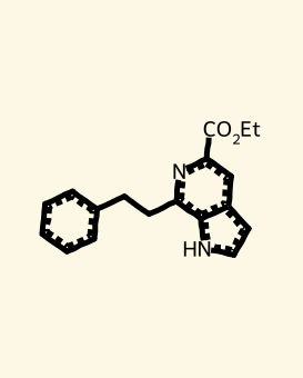 CCOC(=O)c1cc2cc[nH]c2c(CCc2ccccc2)n1